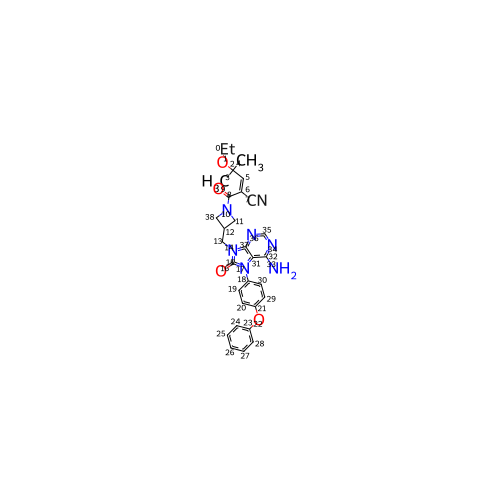 CCOC(C)(C)/C=C(/C#N)C(=O)N1CC(Cn2c(=O)n(-c3ccc(Oc4ccccc4)cc3)c3c(N)ncnc32)C1